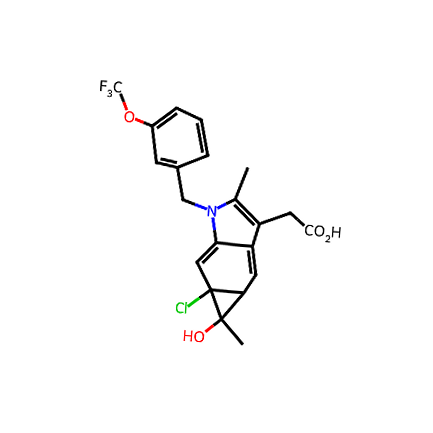 Cc1c(CC(=O)O)c2c(n1Cc1cccc(OC(F)(F)F)c1)=CC1(Cl)C(C=2)C1(C)O